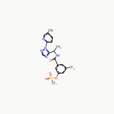 CC(NC(=O)c1cc(OS(=O)(=O)C(F)(F)F)cc(C(F)(F)F)c1)c1ncnn1-c1ccc(C#N)cn1